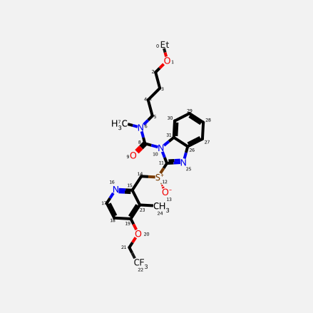 CCOCC[CH]CN(C)C(=O)n1c([S@+]([O-])Cc2nccc(OCC(F)(F)F)c2C)nc2ccccc21